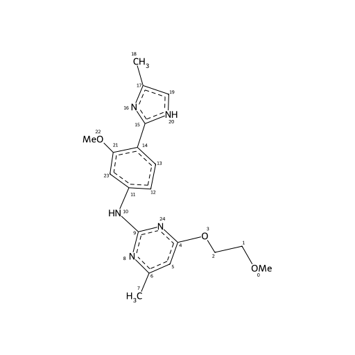 COCCOc1cc(C)nc(Nc2ccc(-c3nc(C)c[nH]3)c(OC)c2)n1